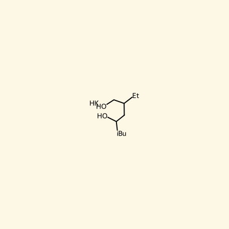 CCC(CO)CC(O)C(C)CC.[KH]